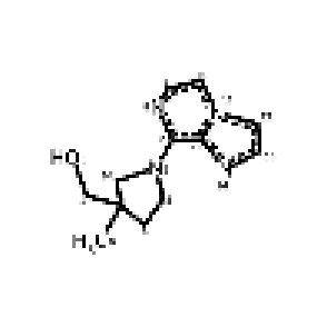 CC1(CO)CCN(c2nccn3ccnc23)C1